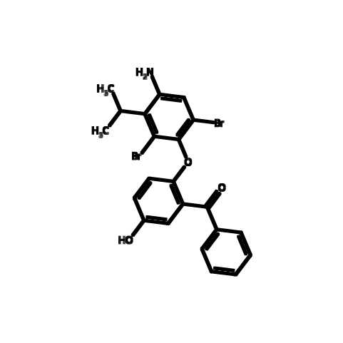 CC(C)c1c(N)cc(Br)c(Oc2ccc(O)cc2C(=O)c2ccccc2)c1Br